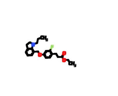 CCCN1CCc2cccc(COc3ccc(CCC(=O)OCC)c(F)c3)c21